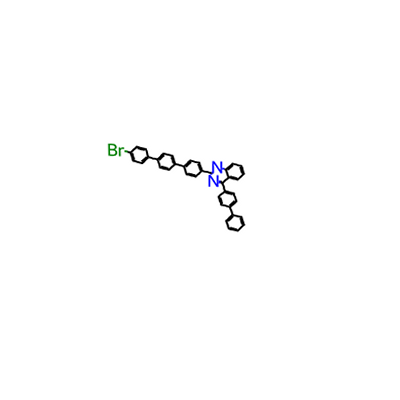 Brc1ccc(-c2ccc(-c3ccc(-c4nc(-c5ccc(-c6ccccc6)cc5)c5ccccc5n4)cc3)cc2)cc1